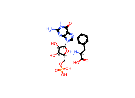 N[C@@H](Cc1ccccc1)C(=O)O.Nc1nc2c(ncn2[C@@H]2O[C@H](COP(=O)(O)O)[C@@H](O)[C@H]2O)c(=O)[nH]1